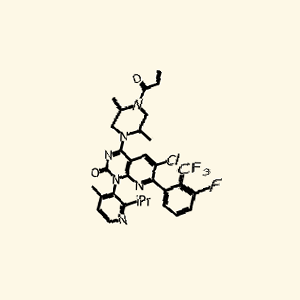 C=CC(=O)N1CC(C)N(c2nc(=O)n(-c3c(C)ccnc3C(C)C)c3nc(-c4cccc(F)c4C(F)(F)F)c(Cl)cc23)CC1C